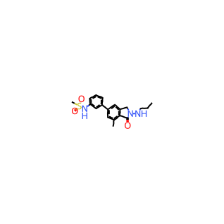 CCCNN1Cc2cc(-c3cccc(NS(C)(=O)=O)c3)cc(C)c2C1=O